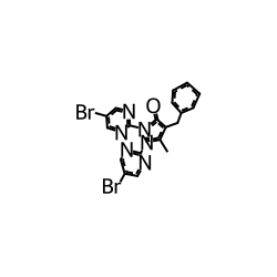 Cc1c(Cc2ccccc2)c(=O)n(-c2ncc(Br)cn2)n1-c1ncc(Br)cn1